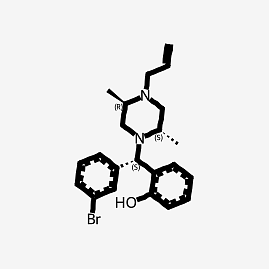 C=CCN1C[C@H](C)N([C@@H](c2cccc(Br)c2)c2ccccc2O)C[C@H]1C